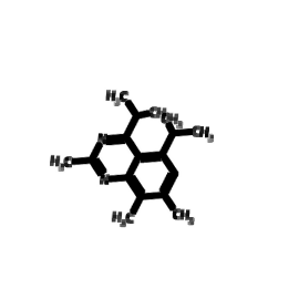 Cc1nc(C(C)C)c2c(C(C)C)cc(C)c(C)c2n1